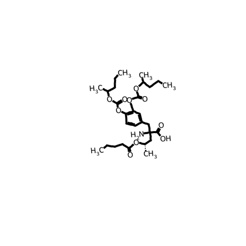 CCCCC(=O)O[C@@H](C)CC(N)(Cc1ccc(OC(=O)OC(C)CCC)c(OC(=O)OC(C)CCC)c1)C(=O)O